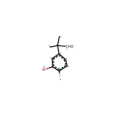 CC(C)(C=O)c1ccc(F)c(Br)c1